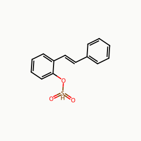 O=[SH](=O)Oc1ccccc1C=Cc1ccccc1